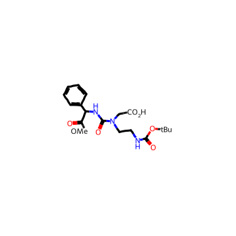 COC(=O)C(NC(=O)N(CCNC(=O)OC(C)(C)C)CC(=O)O)c1ccccc1